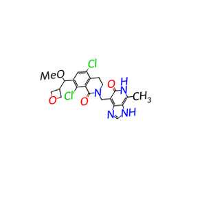 COC(c1cc(Cl)c2c(c1Cl)C(=O)N(Cc1c(=O)[nH]c(C)c3[nH]cnc13)CC2)C1COC1